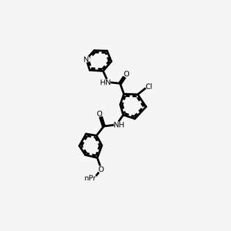 CCCOc1cccc(C(=O)Nc2ccc(Cl)c(C(=O)Nc3cccnc3)c2)c1